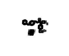 CN(C(=O)CCN1CCN(Cc2ccccc2)CC1)c1cc[c]([Ge+3])cc1.[OH-].[OH-].[OH-]